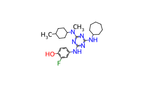 CC1CCC(N(C)c2nc(Nc3ccc(O)c(F)c3)nc(NC3CCCCCC3)n2)CC1